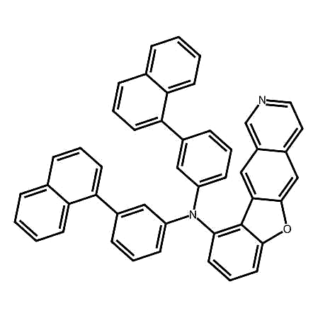 c1cc(-c2cccc3ccccc23)cc(N(c2cccc(-c3cccc4ccccc34)c2)c2cccc3oc4cc5ccncc5cc4c23)c1